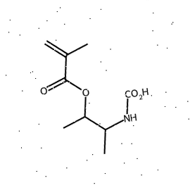 C=C(C)C(=O)OC(C)C(C)NC(=O)O